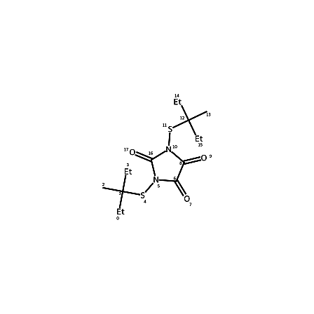 CCC(C)(CC)SN1C(=O)C(=O)N(SC(C)(CC)CC)C1=O